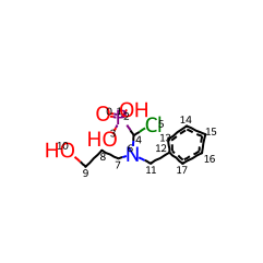 O=P(O)(O)C(Cl)N(CCCO)Cc1ccccc1